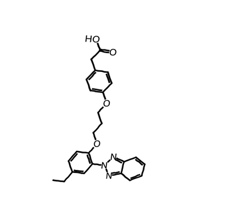 CCc1ccc(OCCCOc2ccc(CC(=O)O)cc2)c(-n2nc3ccccc3n2)c1